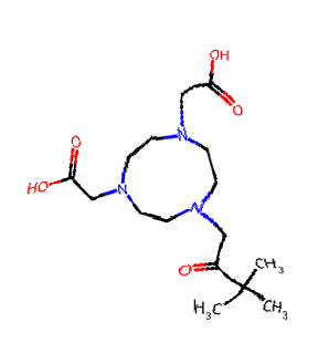 CC(C)(C)C(=O)CN1CCN(CC(=O)O)CCN(CC(=O)O)CC1